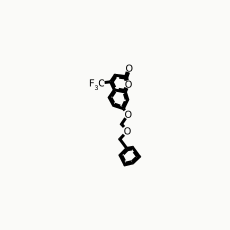 O=c1cc(C(F)(F)F)c2ccc(OCOCc3ccccc3)cc2o1